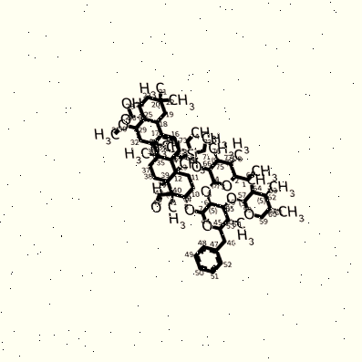 CCC1O[C@@H](O[C@@H]2C(O[C@H]3CCC4(C)C5CC=C6C7CC(C)(C)CC[C@]7(C(=O)O)C(OC)C[C@@]6(C)[C@@]5(C)CC[C@H]4[C@@]3(C)C=O)OC(Cc3ccccc3)[C@@H](C)[C@@H]2O[C@@H]2OC[C@@H](C)[C@H](C)C2C)C(O[Si](CC)(CC)CC)[C@@H](C)[C@H]1C